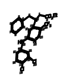 CCOC(=O)CN(Cc1ccccc1)c1nc(Nc2ccc(Cl)c(Cl)c2)ncc1C(F)(F)F